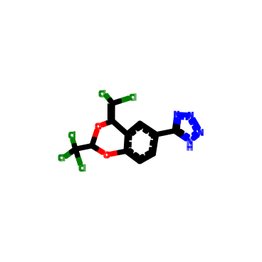 ClC(Cl)=C1OC(C(Cl)(Cl)Cl)Oc2ccc(-c3nnn[nH]3)cc21